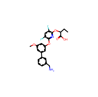 CCC(Oc1nc(Oc2cc(OC)cc(-c3cccc(CN)c3)c2)c(F)cc1F)C(=O)O